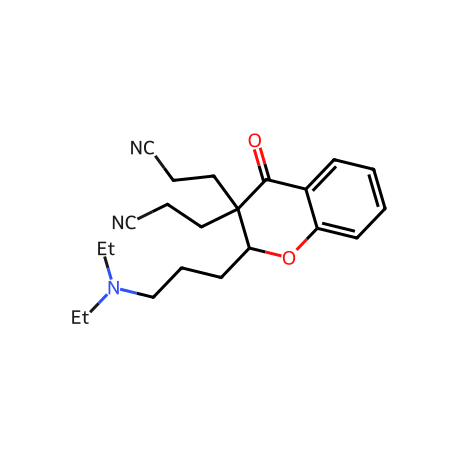 CCN(CC)CCCC1Oc2ccccc2C(=O)C1(CCC#N)CCC#N